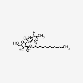 CCCCCCCCCCCCC(C#N)CO[P+]([O-])=C1[C@H](n2ccc(NC(C)=O)nc2=O)O[C@H](CO)[C@H]1O